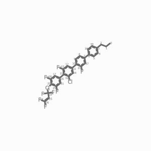 CCCc1ccc(-c2ccc(-c3cc(F)c(-c4cc(F)c(OC(F)(F)C=C(F)F)c(F)c4)c(Cl)c3)c(F)c2)cc1